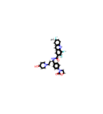 CC(C)[C@]1(F)CCc2nc3c(F)c(F)c(C(=O)N[C@H](CCN4CCC(O)CC4)c4ccc(N5CCOC5=O)cc4)cc3cc2C1